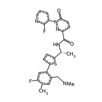 CNCc1cc(C)c(F)cc1-c1ccc([C@@H](C)NC(=O)c2ccc(=O)n(-c3cccnc3F)n2)s1